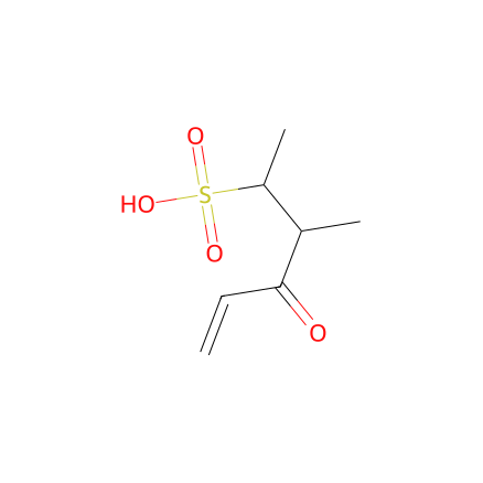 C=CC(=O)C(C)C(C)S(=O)(=O)O